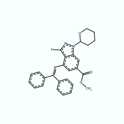 COC(=O)c1cc(N=C(c2ccccc2)c2ccccc2)c2c(F)nn(C3CCCCO3)c2c1